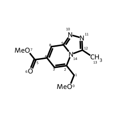 COCc1cc(C(=O)OC)cc2nnc(C)n12